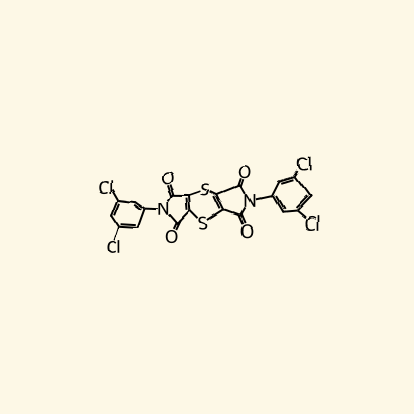 O=c1c2sc3c(=O)n(-c4cc(Cl)cc(Cl)c4)c(=O)c3sc2c(=O)n1-c1cc(Cl)cc(Cl)c1